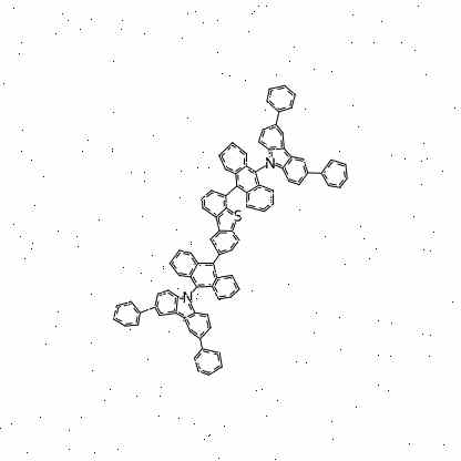 c1ccc(-c2ccc3c(c2)c2cc(-c4ccccc4)ccc2n3-c2c3ccccc3c(-c3ccc4sc5c(-c6c7ccccc7c(-n7c8ccc(-c9ccccc9)cc8c8cc(-c9ccccc9)ccc87)c7ccccc67)cccc5c4c3)c3ccccc23)cc1